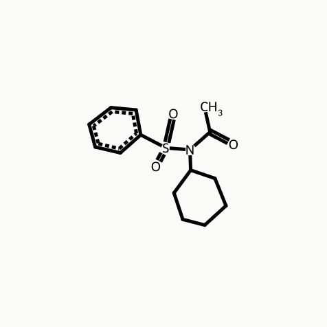 CC(=O)N(C1CCCCC1)S(=O)(=O)c1ccccc1